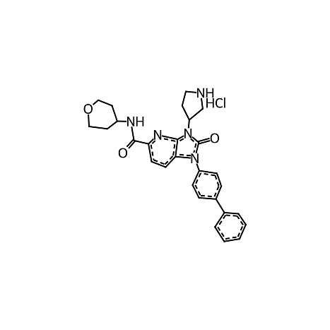 Cl.O=C(NC1CCOCC1)c1ccc2c(n1)n(C1CCNC1)c(=O)n2-c1ccc(-c2ccccc2)cc1